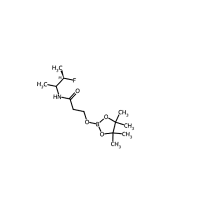 CC(NC(=O)CCOB1OC(C)(C)C(C)(C)O1)[C@@H](C)F